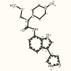 COC[C@H](C(=O)Nc1cccc2c(-c3cn[nH]c3)c[nH]c12)N1CCN(C)CC1